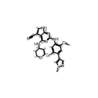 COc1cc(-c2cnn(C)c2)c(F)cc1Nc1nc(NC2CCOCC2)c2c(C#N)c[nH]c2n1